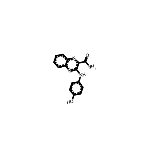 NC(=O)c1nc2ccccc2nc1Nc1ccc(O)cc1